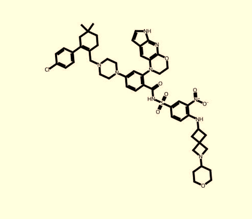 CC1(C)CCC(CN2CCN(c3ccc(C(=O)NS(=O)(=O)c4ccc(NC5CC6(C5)CN(C5CCOCC5)C6)c([N+](=O)[O-])c4)c(N4CCOc5nc6[nH]ccc6cc54)c3)CC2)=C(c2ccc(Cl)cc2)C1